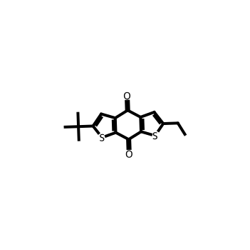 CCc1cc2c(s1)C(=O)c1sc(C(C)(C)C)cc1C2=O